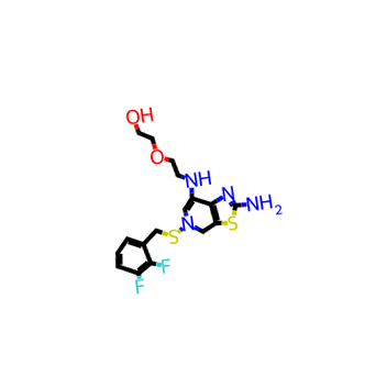 Nc1nc2c(s1)CN(SCc1cccc(F)c1F)C=C2NCCOCCO